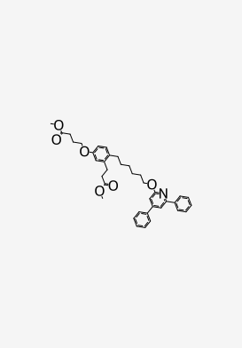 COC(=O)CCCOc1ccc(CCCCCCOc2cc(-c3ccccc3)cc(-c3ccccc3)n2)c(CCC(=O)OC)c1